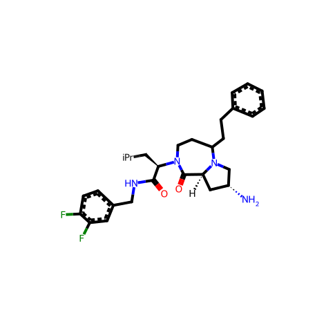 CC(C)C[C@H](C(=O)NCc1ccc(F)c(F)c1)N1CCC(CCc2ccccc2)N2C[C@H](N)C[C@H]2C1=O